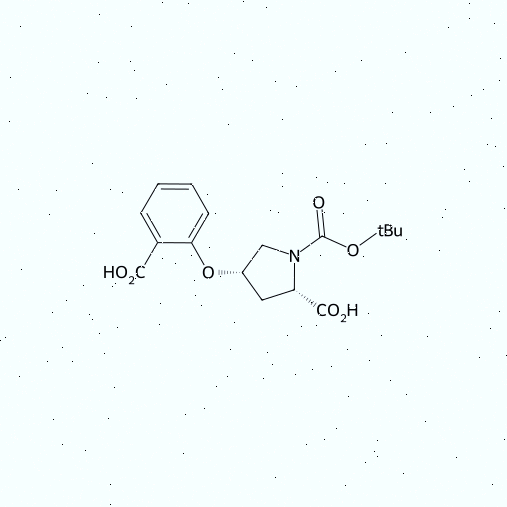 CC(C)(C)OC(=O)N1C[C@@H](Oc2ccccc2C(=O)O)C[C@H]1C(=O)O